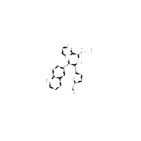 Nc1nc(-c2ccc(C=O)o2)c(-c2ccc3ncccc3c2)n2ccnc12